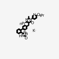 CCCc1nc(C)n(-c2ccc(OC(C)C)nc2)c(=O)c1Cc1ccc(-c2ccccc2-c2noc(=O)[nH]2)cc1.[K]